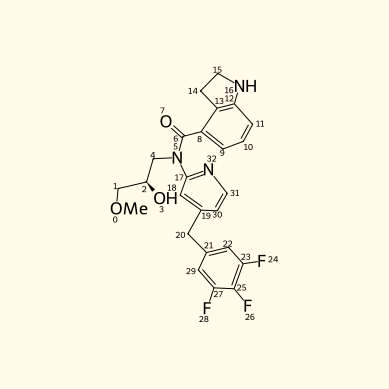 COC[C@H](O)CN(C(=O)c1cccc2c1CCN2)c1cc(Cc2cc(F)c(F)c(F)c2)ccn1